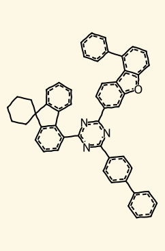 c1ccc(-c2ccc(-c3nc(-c4ccc5c(c4)oc4cccc(-c6ccccc6)c45)nc(-c4cccc5c4-c4ccccc4C54CCCCC4)n3)cc2)cc1